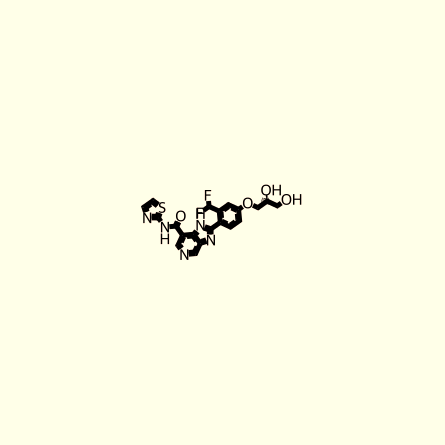 O=C(Nc1nccs1)c1cncc2nc(-c3ccc(OC[C@H](O)CO)cc3C(F)F)[nH]c12